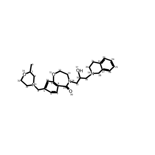 CC1CN(Cc2ccc3c(c2)OCCN(CC(O)CN2CCc4ccccc4C2)C3=O)CCO1